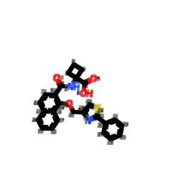 O=C(NC1(C(=O)O)CCC1)c1ccc2ccccc2c1OCc1csc(-c2ccccc2)n1